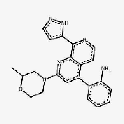 CC1CN(c2cc(-c3ccccc3N)c3ccnc(-c4ccn[nH]4)c3n2)CCO1